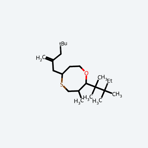 C=C(CC1CCOC(C(C)(C)C(C)(C)CC)C(C)CS1)CC(C)(C)C